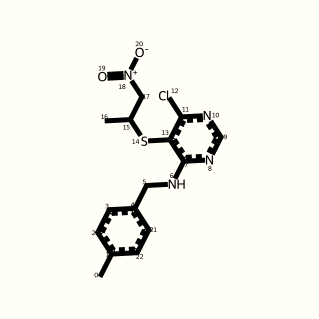 Cc1ccc(CNc2ncnc(Cl)c2SC(C)C[N+](=O)[O-])cc1